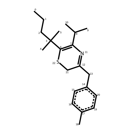 CCCC(C)(C)C1=C(C(C)C)N=C(Cc2ccc(C)cc2)CS1